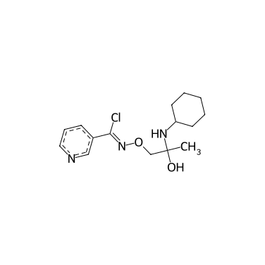 CC(O)(CON=C(Cl)c1cccnc1)NC1CCCCC1